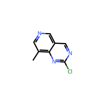 Cc1cncc2cnc(Cl)nc12